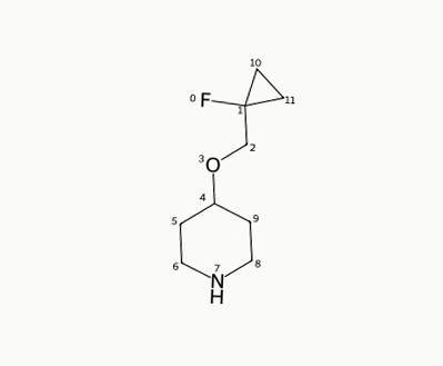 FC1(COC2CCNCC2)CC1